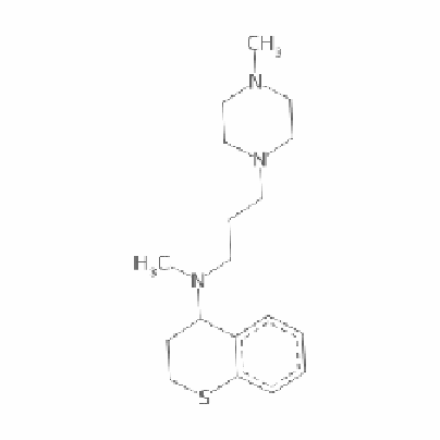 CN1CCN(CCCN(C)C2CCSc3ccccc32)CC1